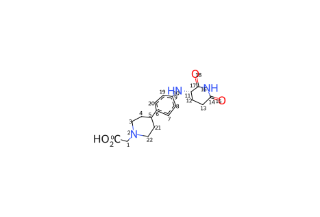 O=C(O)CN1CCC(c2ccc(N[C@H]3CCC(=O)NC3=O)cc2)CC1